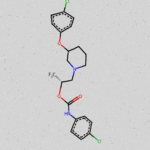 O=C(Nc1ccc(Cl)cc1)O[C@@H](CN1CCCC(Oc2ccc(Cl)cc2)C1)C(F)(F)F